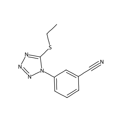 CCSc1nnnn1-c1cccc(C#N)c1